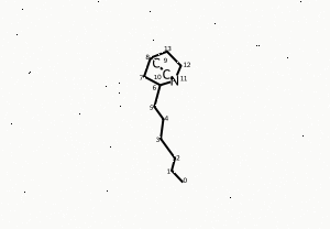 CCCCCCC1CC2CCN1CC2